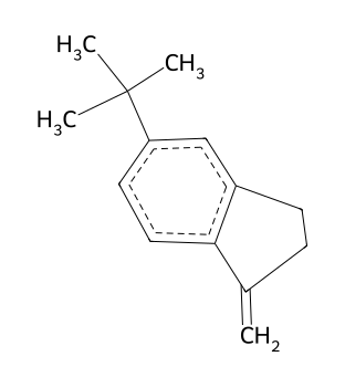 C=C1CCc2cc(C(C)(C)C)ccc21